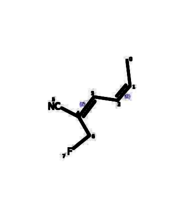 C/C=C\C=C(\C#N)CF